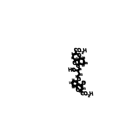 O=C(O)C1=CCC(=O)c2c(OCC(O)CCOc3cccc4oc(C(=O)O)cc(=O)c34)cccc2O1